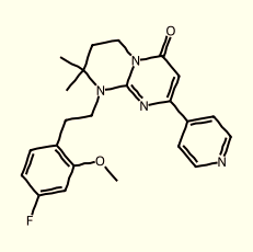 COc1cc(F)ccc1CCN1c2nc(-c3ccncc3)cc(=O)n2CCC1(C)C